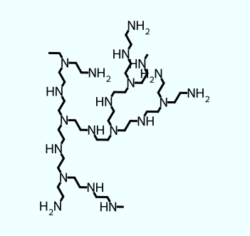 CCN(CCN)CCNCCN(CCNCCN(CCN)CCNCCNC)CCNCCN(CCNCCN(CCN)CCN)CCNCCN(CCNC)CCNCCN